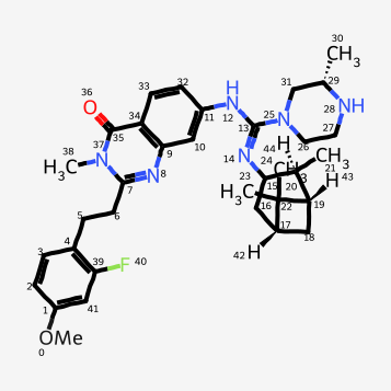 COc1ccc(CCc2nc3cc(NC(=NC4C[C@H]5C[C@@H]([C@@H]4C)C5(C)C)N4CCN[C@@H](C)C4)ccc3c(=O)n2C)c(F)c1